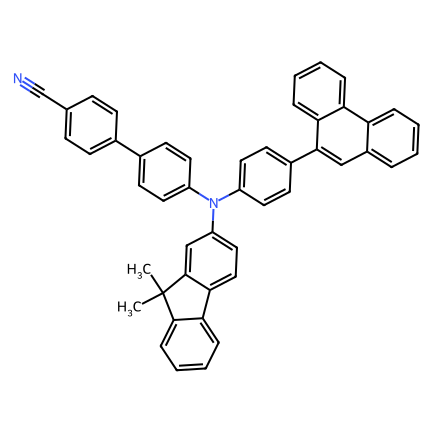 CC1(C)c2ccccc2-c2ccc(N(c3ccc(-c4ccc(C#N)cc4)cc3)c3ccc(-c4cc5ccccc5c5ccccc45)cc3)cc21